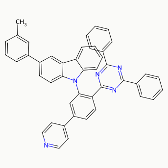 Cc1cccc(-c2ccc3c(c2)c2ccccc2n3-c2cc(-c3ccncc3)ccc2-c2nc(-c3ccccc3)nc(-c3ccccc3)n2)c1